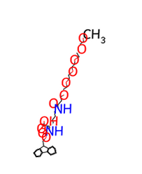 COCCOCCOCCOCCOCCOCCC(=O)NCCCC[C@H](NC(=O)OCC1c2ccccc2-c2ccccc21)C(=O)O